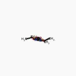 CCCCCCCCC(C)COc1cc2nc3c4ccc5c6c(ccc(c(=O)n3c2s1)c46)c(=O)n1c5nc2cc(OCC(C)CCCCCCCC)sc21